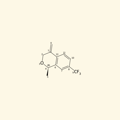 C=C1CO[C@H](C)c2cc(C(F)(F)F)ccc21